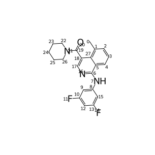 Cc1cccc2c(Nc3cc(F)cc(F)c3)ncc(C(=O)N3CCCCC3)c12